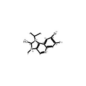 CC(C)N1c2c(cnc3cc(F)c(Br)cc23)N(C)C1O